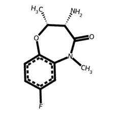 C[C@H]1Oc2ccc(F)cc2N(C)C(=O)[C@H]1N